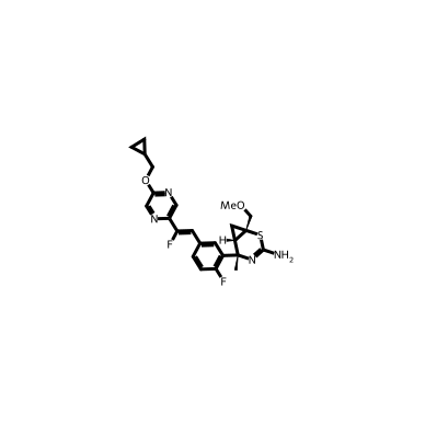 COC[C@]12C[C@H]1[C@@](C)(c1cc(/C=C(\F)c3cnc(OCC4CC4)cn3)ccc1F)N=C(N)S2